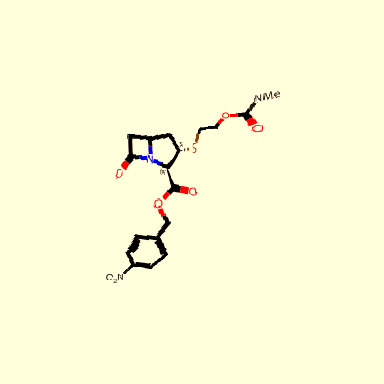 CNC(=O)OCCS[C@H]1CC2CC(=O)N2[C@@H]1C(=O)OCc1ccc([N+](=O)[O-])cc1